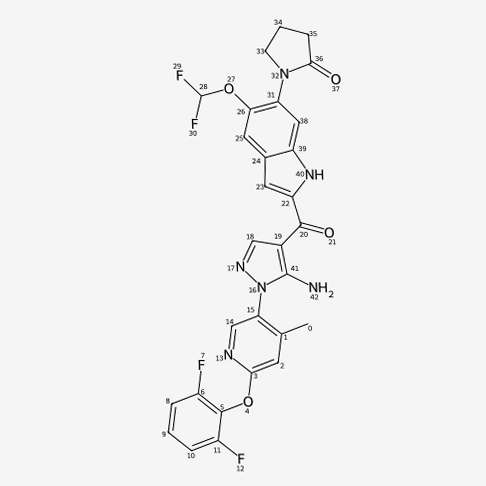 Cc1cc(Oc2c(F)cccc2F)ncc1-n1ncc(C(=O)c2cc3cc(OC(F)F)c(N4CCCC4=O)cc3[nH]2)c1N